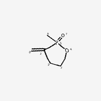 C=C1CCOP1(C)=O